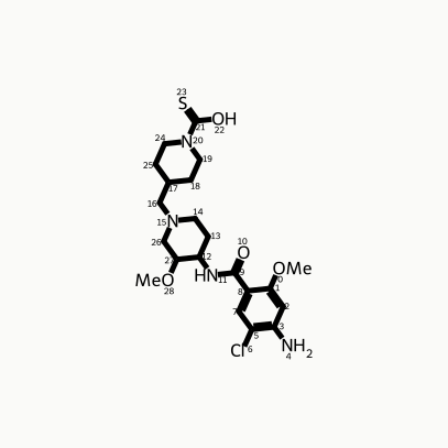 COc1cc(N)c(Cl)cc1C(=O)NC1CCN(CC2CCN(C(O)=S)CC2)CC1OC